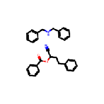 N#CC(CCc1ccccc1)OC(=O)c1ccccc1.c1ccc(CNCc2ccccc2)cc1